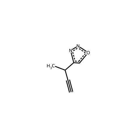 [C]#CC(C)c1conn1